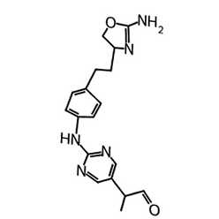 CC(C=O)c1cnc(Nc2ccc(CCC3COC(N)=N3)cc2)nc1